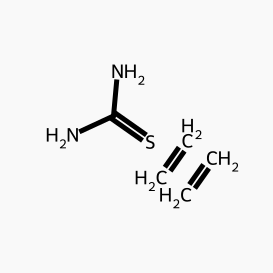 C=C.C=C.NC(N)=S